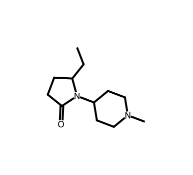 CCC1CCC(=O)N1C1CCN(C)CC1